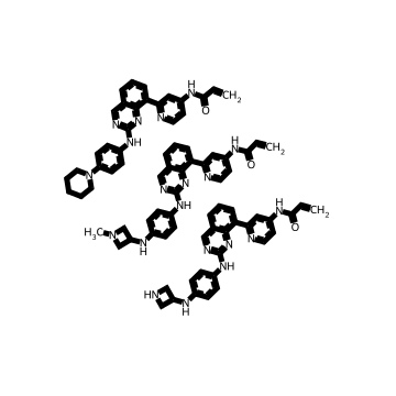 C=CC(=O)Nc1ccnc(-c2cccc3cnc(Nc4ccc(N5CCCCC5)cc4)nc23)c1.C=CC(=O)Nc1ccnc(-c2cccc3cnc(Nc4ccc(NC5CN(C)C5)cc4)nc23)c1.C=CC(=O)Nc1ccnc(-c2cccc3cnc(Nc4ccc(NC5CNC5)cc4)nc23)c1